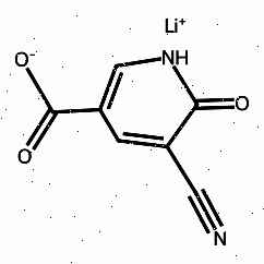 N#Cc1cc(C(=O)[O-])c[nH]c1=O.[Li+]